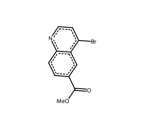 COC(=O)c1ccc2nccc(Br)c2c1